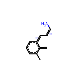 C=c1c(C)ccc/c1=C/C=C\N